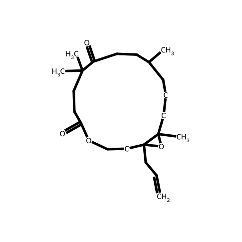 C=CCC12CCOC(=O)CCC(C)(C)C(=O)CCC(C)CCCC1(C)O2